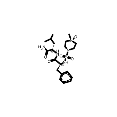 CC(C)C[C@H](NC(=O)[C@H](Cc1ccccc1)NS(=O)(=O)N1CC[N+](C)([O-])CC1)C(N)=O